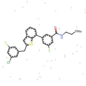 COCCNC(=O)c1cc(F)cc(-c2cccc3cc(Cc4cc(F)cc(Cl)c4)sc23)c1